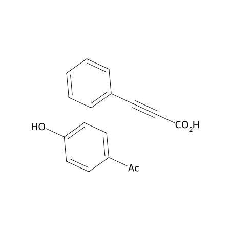 CC(=O)c1ccc(O)cc1.O=C(O)C#Cc1ccccc1